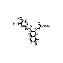 CNC(=O)CSc1nc2c(C)c(F)ccc2cc1[C@H](C)Nc1ncc(C#N)c(N)n1